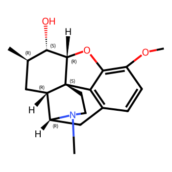 COc1ccc2c3c1O[C@H]1[C@@H](O)[C@H](C)C[C@H]4[C@@H](C2)N(C)CC[C@@]341